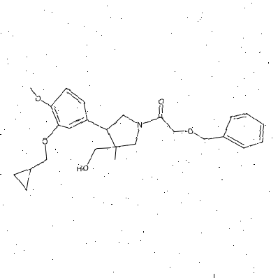 COc1ccc(C2CN(C(=O)COCc3ccccc3)CC2(C)CO)cc1OCC1CC1